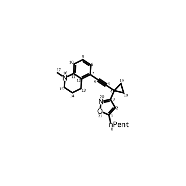 CCCCCc1cc(C2(C#Cc3cccc4c3CCCN4C)CC2)no1